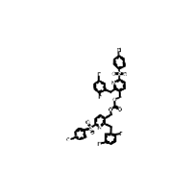 O=C(OCc1ccc(S(=O)(=O)c2ccc(Cl)cc2)nc1Cc1cc(F)ccc1F)OCc1ccc(S(=O)(=O)c2ccc(Cl)cc2)nc1Cc1cc(F)ccc1F